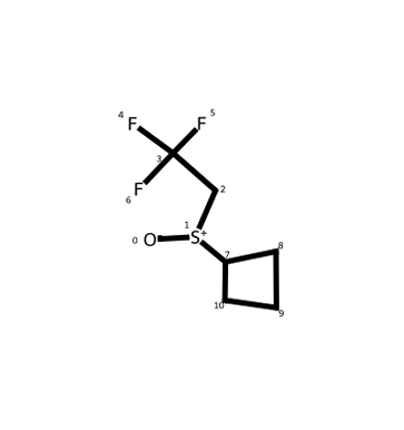 [O-][S+](CC(F)(F)F)C1CCC1